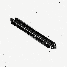 O=C(O)C(Br)(Br)C(Br)(Br)C(Br)(Br)C(Br)(Br)C(Br)(Br)C(Br)(Br)C(Br)(Br)C(Br)(Br)C(Br)(Br)C(Br)(Br)C(Br)(Br)C(Br)(Br)C(Br)(Br)C(Br)(Br)C(Br)(Br)C(Br)(Br)C(Br)(Br)C(Br)(Br)C(Br)(Br)C(Br)(Br)C(Br)(Br)C(Br)(Br)C(Br)(Br)C(Br)(Br)Br